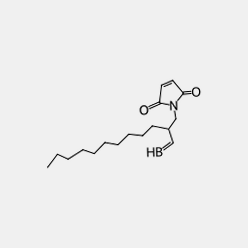 B=CC(CCCCCCCCCC)CN1C(=O)C=CC1=O